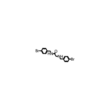 O=C(CNCc1ccc(Br)cc1)NCc1ccc(Br)cc1